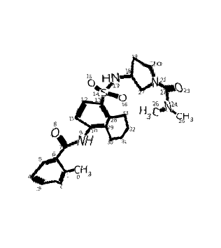 Cc1ccccc1C(=O)Nc1ccc(S(=O)(=O)NC2CCN(C(=O)N(C)C)C2)c2c1CCCC2